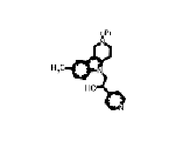 CCCN1CCc2c(c3cc(C)ccc3n2CC(O)c2ccncc2)C1